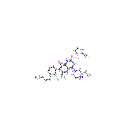 C=C/C=C\c1cccc(-n2c(C)nc3c(N4CCN[C@@H](CC#N)C4)nc(OC[C@@H]4CCCN4C)nc3c2=O)c1Cl